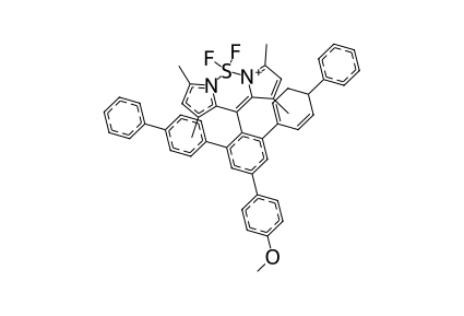 COc1ccc(-c2cc(C3=CCC(c4ccccc4)C=C3)c(C3=C4C(C)=CC(C)=[N+]4S(F)(F)n4c(C)cc(C)c43)c(-c3ccc(-c4ccccc4)cc3)c2)cc1